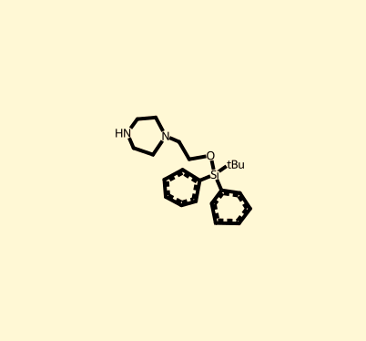 CC(C)(C)[Si](OCCN1CCNCC1)(c1ccccc1)c1ccccc1